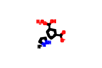 O.O=C([O-])c1cccc(C(=O)O)c1.[K+].c1cn[nH]c1